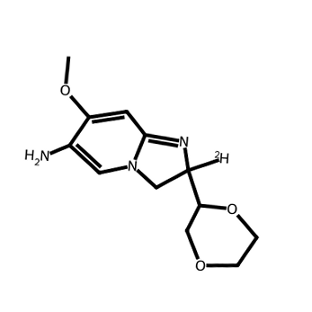 [2H]C1(C2COCCO2)CN2C=C(N)C(OC)=CC2=N1